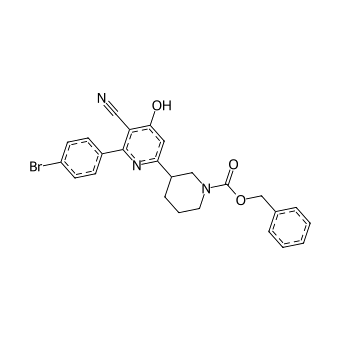 N#Cc1c(O)cc(C2CCCN(C(=O)OCc3ccccc3)C2)nc1-c1ccc(Br)cc1